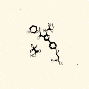 CCN(CC)CCOc1ccc(-c2cc(C(=O)N[C@@H]3CCCNC3)c(NC(N)=O)s2)cc1.O=C(O)C(F)(F)F